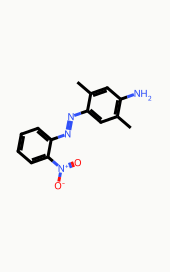 Cc1cc(N=Nc2ccccc2[N+](=O)[O-])c(C)cc1N